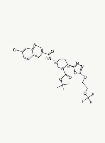 CC(C)(C)OC(=O)N1C[C@H](NC(=O)c2cnc3cc(Cl)ccc3c2)CC[C@H]1c1nnc(OCCOC(F)(F)F)o1